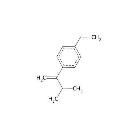 C=Cc1ccc(C(=C)C(C)C)cc1